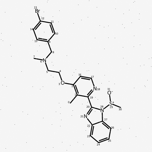 Cc1c(OCCN(C)Cc2ccc(Br)cc2)ccnc1-c1nc2ccccc2n1[S+](C)[O-]